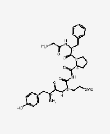 CSCC[C@@H](NC(=O)[C@@H](N)Cc1ccc(O)cc1)C(=O)NC(=O)[C@@H]1CCCN1C(=O)[C@H](Cc1ccccc1)NC(=O)CN